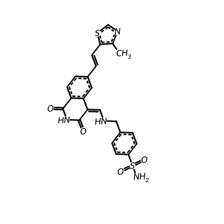 Cc1ncsc1/C=C/c1ccc2c(c1)/C(=C/NCc1ccc(S(N)(=O)=O)cc1)C(=O)NC2=O